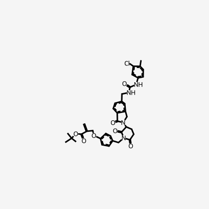 C=C(COc1ccc(CN2C(=O)CCC(N3Cc4cc(CNC(=O)Nc5ccc(C)c(Cl)c5)ccc4C3=O)C2=O)cc1)C(=O)OC(C)(C)C